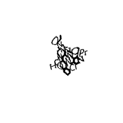 C=CC(=O)N1CC(C)N2c3nc(=O)n(-c4c(C)ccnc4C(C)C)c4nc(-c5c(O)cccc5Cl)c(Cl)c(c34)N(C)CCC2C1